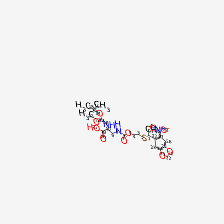 CC(SCCOC(=O)NCC(NC(=O)OC(C)(C)C)C(=O)O)c1cc2c(cc1[N+](=O)[O-])OCO2